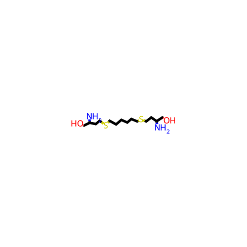 NC(CO)CCSCCCCCCSCCC(N)CO